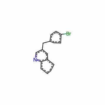 Brc1ccc(Cc2cnc3ccccc3c2)cc1